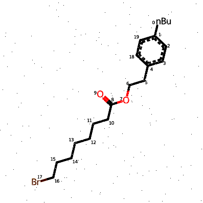 CCCCc1ccc(CCOC(=O)CCCCCCCBr)cc1